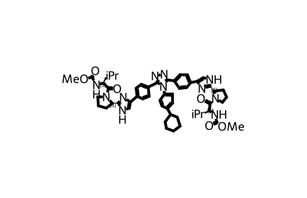 COC(=O)N[C@H](C(=O)N1CCC[C@H]1c1nc(-c2ccc(-c3nnc(-c4ccc(-c5c[nH]c([C@@H]6CCCN6C(=O)[C@@H](NC(=O)OC)C(C)C)n5)cc4)n3-c3ccc(C4CCCCC4)cc3)cc2)c[nH]1)C(C)C